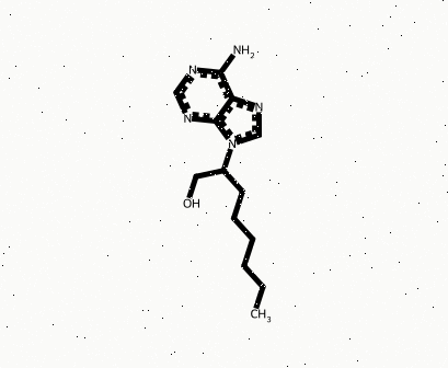 CCCCCCC(CO)n1cnc2c(N)ncnc21